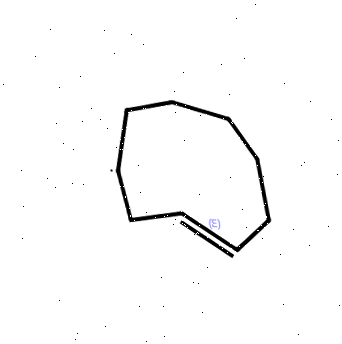 [CH]1C/C=C/CCCCC1